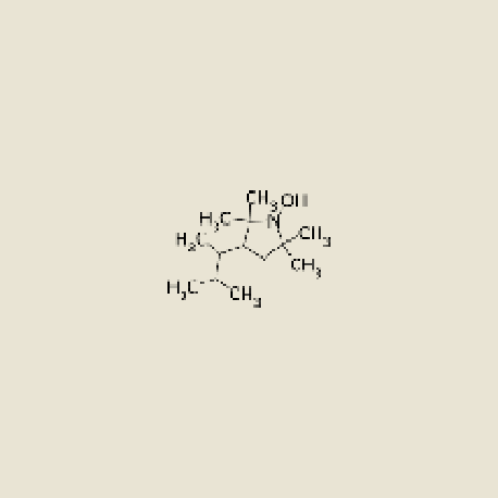 CC(C)C(C)C1CC(C)(C)N(O)C1(C)C